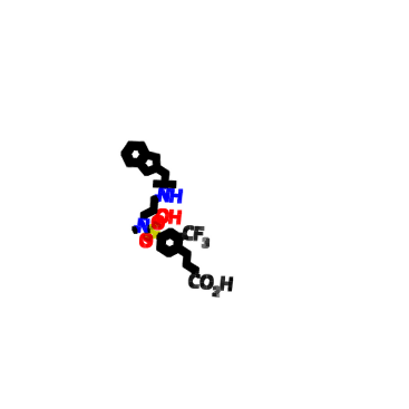 CN(C[C@H](O)CNC(C)(C)CC1Cc2ccccc2C1)S(=O)(=O)c1ccc(CCCC(=O)O)c(C(F)(F)F)c1